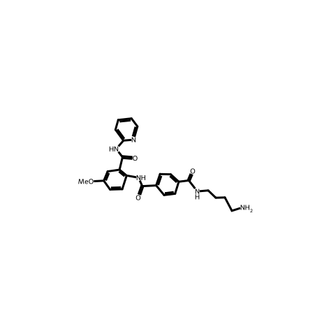 COc1ccc(NC(=O)c2ccc(C(=O)NCCCCN)cc2)c(C(=O)Nc2ccccn2)c1